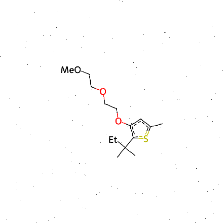 CCC(C)(C)c1sc(C)cc1OCCOCCOC